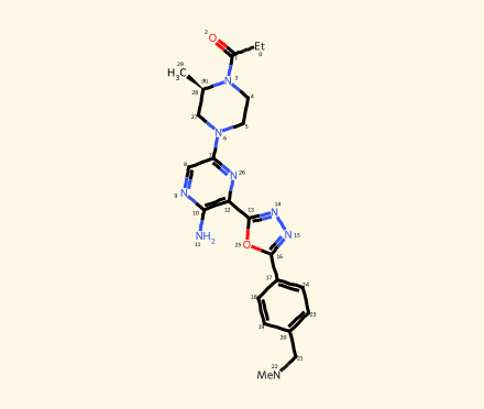 CCC(=O)N1CCN(c2cnc(N)c(-c3nnc(-c4ccc(CNC)cc4)o3)n2)C[C@H]1C